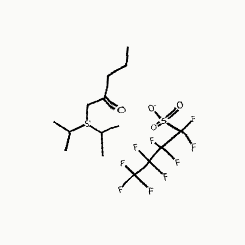 CCCC(=O)C[S+](C(C)C)C(C)C.O=S(=O)([O-])C(F)(F)C(F)(F)C(F)(F)C(F)(F)F